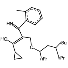 CCCC(CC(CCC)C(C)CC)OC/C(C(=N)c1ccccc1C)=C(/O)C1CC1